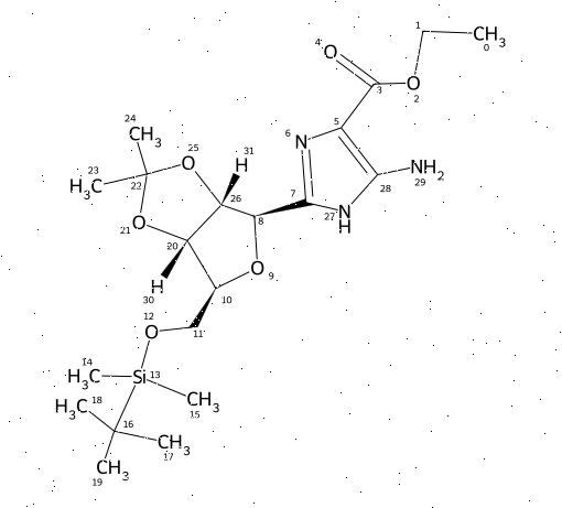 CCOC(=O)c1nc([C@H]2O[C@@H](CO[Si](C)(C)C(C)(C)C)[C@@H]3OC(C)(C)O[C@@H]32)[nH]c1N